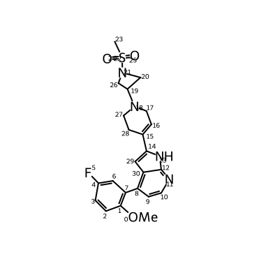 COc1ccc(F)cc1-c1ccnc2[nH]c(C3=CCN(C4CN(S(C)(=O)=O)C4)CC3)cc12